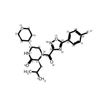 CC(C)C[C@H]1C(=O)N[C@H](C2CCOCC2)CN1C(=O)c1noc(-c2ccc(F)cc2)n1